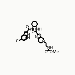 COC(=O)NCCN1CCc2nc(C(=O)N[C@@H]3CCCC[C@@H]3NC(=O)c3cc4cc(Cl)ccc4[nH]3)sc2C1